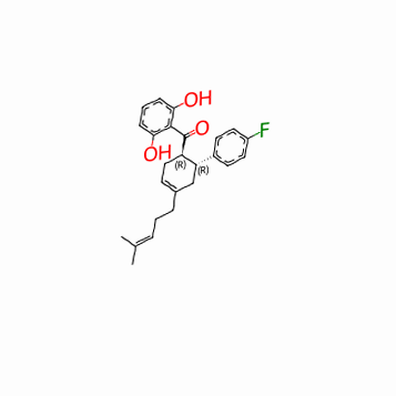 CC(C)=CCCC1=CC[C@@H](C(=O)c2c(O)cccc2O)[C@H](c2ccc(F)cc2)C1